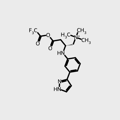 C[N+](C)(C)C[C@@H](CC(=O)OC(=O)C(F)(F)F)Nc1cccc(-c2cc[nH]n2)c1